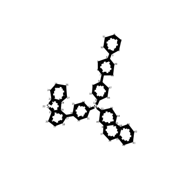 c1ccc(-c2ccc(-c3ccc(N(c4ccc(-c5cccc6sc7ccccc7c56)cc4)c4ccc5c(ccc6ccccc65)c4)cc3)cc2)cc1